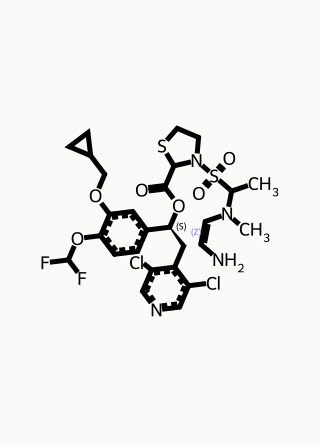 CC(N(C)/C=C\N)S(=O)(=O)N1CCSC1C(=O)O[C@@H](Cc1c(Cl)cncc1Cl)c1ccc(OC(F)F)c(OCC2CC2)c1